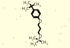 CC(C)(C)c1ccc(OCCCO[Si](C)(C)C)cc1